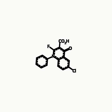 O=C(O)c1c(F)n(-c2ccccc2)c2ccc(Cl)cc2c1=O